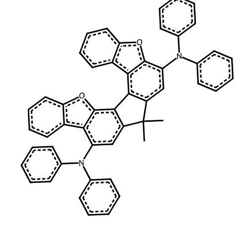 CC1(C)c2cc(N(c3ccccc3)c3ccccc3)c3c(oc4ccccc43)c2-c2c1cc(N(c1ccccc1)c1ccccc1)c1oc3ccccc3c21